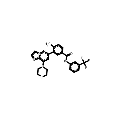 Cc1ccc(C(=O)Nc2cccc(C(F)(F)F)c2)cc1-c1cc(N2CCOCC2)c2nccn2n1